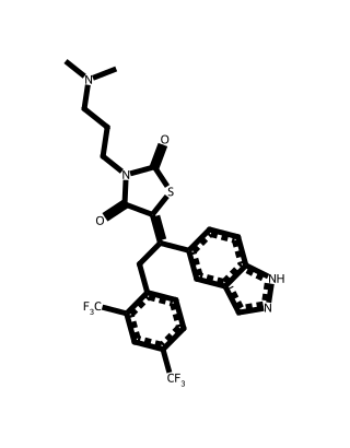 CN(C)CCCN1C(=O)S/C(=C(/Cc2ccc(C(F)(F)F)cc2C(F)(F)F)c2ccc3[nH]ncc3c2)C1=O